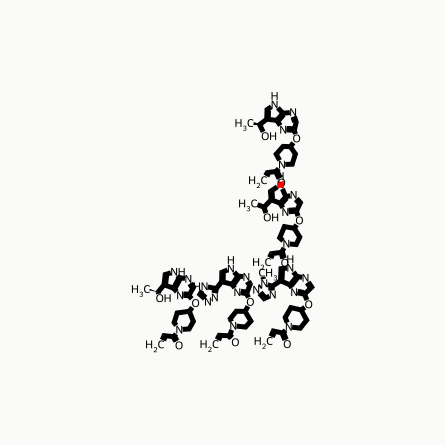 C=CC(=O)N1CCC(Oc2cnc3[nH]cc(-c4ncnn4C)c3n2)CC1.C=CC(=O)N1CCC(Oc2cnc3[nH]cc(-c4nnc[nH]4)c3n2)CC1.C=CC(=O)N1CCC(Oc2cnc3[nH]cc(C(C)O)c3n2)CC1.C=CC(=O)N1CCC(Oc2cnc3[nH]cc([C@@H](C)O)c3n2)CC1.C=CC(=O)N1CCC(Oc2cnc3[nH]cc([C@H](C)O)c3n2)CC1